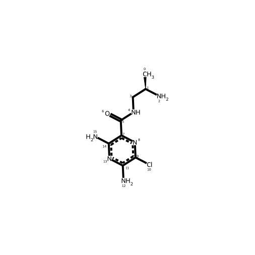 C[C@@H](N)CNC(=O)c1nc(Cl)c(N)nc1N